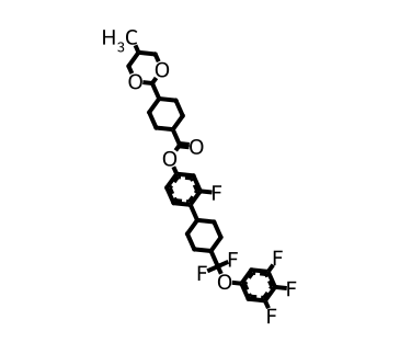 CC1COC(C2CCC(C(=O)Oc3ccc(C4CCC(C(F)(F)Oc5cc(F)c(F)c(F)c5)CC4)c(F)c3)CC2)OC1